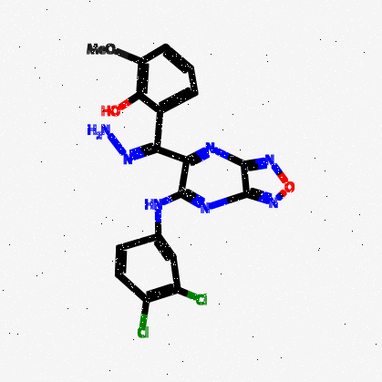 COc1cccc(C(=NN)c2nc3nonc3nc2Nc2ccc(Cl)c(Cl)c2)c1O